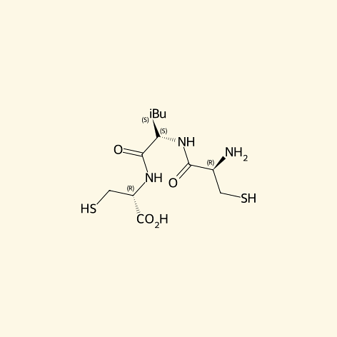 CC[C@H](C)[C@H](NC(=O)[C@@H](N)CS)C(=O)N[C@@H](CS)C(=O)O